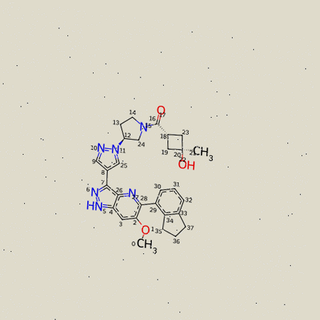 COc1cc2[nH]nc(-c3cnn([C@H]4CCN(C(=O)[C@H]5C[C@](C)(O)C5)C4)c3)c2nc1-c1cccc2c1CCC2